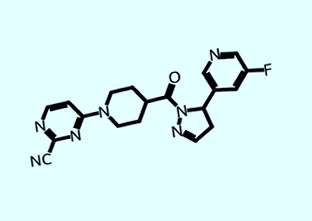 N#Cc1nccc(N2CCC(C(=O)N3N=CCC3c3cncc(F)c3)CC2)n1